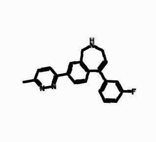 Cc1ccc(-c2ccc3c(c2)CNCC=C3c2cccc(F)c2)nn1